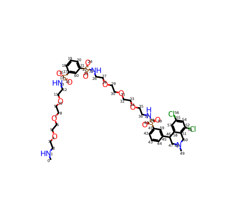 CNCCOCCOCCOCCNS(=O)(=O)c1cccc(S(=O)(=O)NCCOCCOCCOCCNS(=O)(=O)c2cccc(C3CN(C)Cc4c(Cl)cc(Cl)cc43)c2)c1